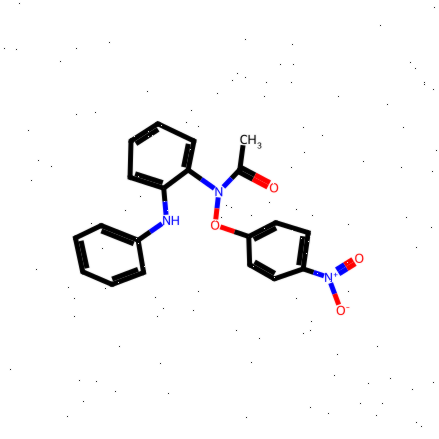 CC(=O)N(Oc1ccc([N+](=O)[O-])cc1)c1ccccc1Nc1ccccc1